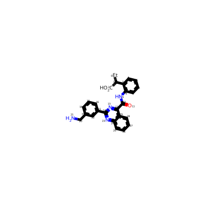 CCC(C(=O)O)c1ccccc1NC(=O)c1nc(-c2cccc(CN)c2)nc2ccccc12